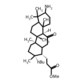 CCCC[C@]1(C)CC[C@]2(C)C(CC(=O)[C@@H]3C4(C)CCC(N)C(C)(C)C4CC[C@]32C)[C@@H]1CCC(=O)OC